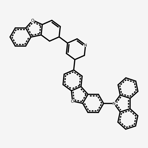 C1=CC(C2=CC(c3ccc4oc5ccc(-n6c7ccccc7c7ccccc76)cc5c4c3)CN=C2)Cc2c1oc1ccccc21